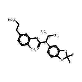 Cc1ccc(CCC(=O)O)cc1NC(=O)[C@H](c1ccc2c(c1)OC(F)(F)O2)[C@@H](C)C(F)(F)F